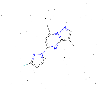 Cc1cnn2c(C)cc(-n3ccc(F)n3)nc12